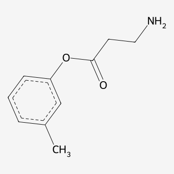 Cc1cccc(OC(=O)CCN)c1